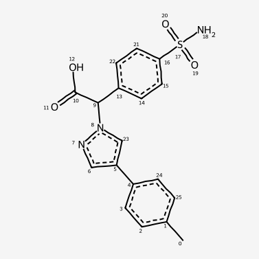 Cc1ccc(-c2cnn(C(C(=O)O)c3ccc(S(N)(=O)=O)cc3)c2)cc1